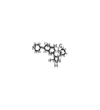 Cc1cccc(-c2n[nH]c(I)c2-c2ccc3ncc(-c4ccncc4)cc3n2)n1